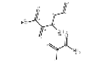 C=C(C)C(N)=O.C=CCC(O)C(=C)C(=O)O